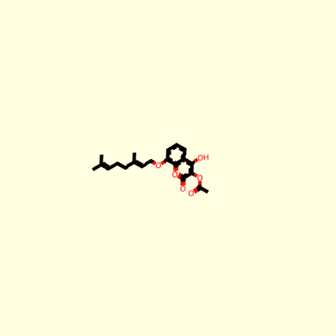 CC(=O)Oc1c(O)c2cccc(OC/C=C(\C)CCC=C(C)C)c2oc1=O